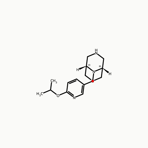 CC(C)Oc1ccc(CN2[C@@H]3CNC[C@H]2COC3)cn1